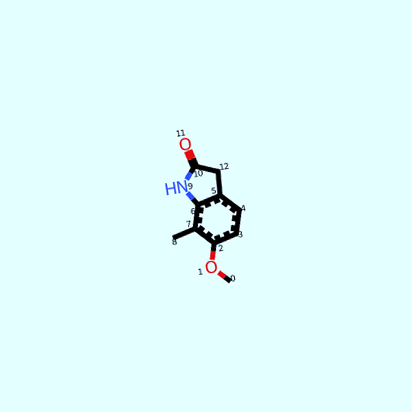 COc1ccc2c(c1C)NC(=O)C2